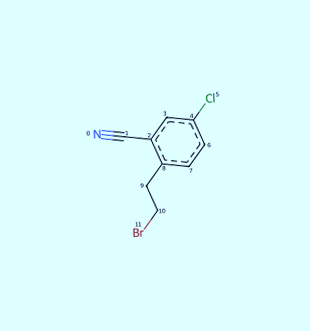 N#Cc1cc(Cl)ccc1CCBr